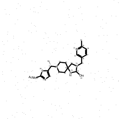 CC(=O)Nc1ncc([C@H](C)N2CCC3(CC2)CN(Cc2ccc(C)nc2)C(O)N3)s1